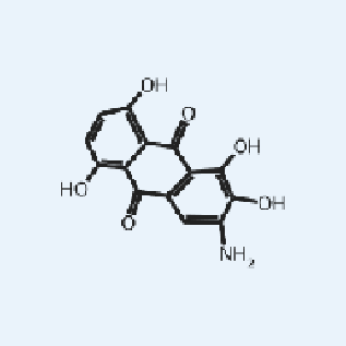 Nc1cc2c(c(O)c1O)C(=O)c1c(O)ccc(O)c1C2=O